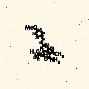 COc1ccc(CCc2nc(NC3(C)CC3)c3c(C(N)=O)c(C)oc3n2)cc1